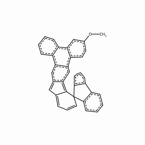 COc1ccc2c(c1)c1ccccc1c1cc3c(cc21)=C1C(=CC=CC12c1ccccc1-c1ccccc12)C=3